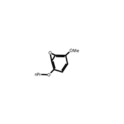 CCCOc1ccc(OC)c2c1O2